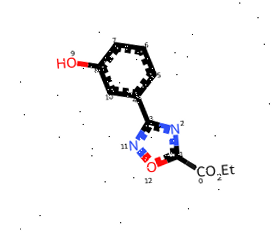 CCOC(=O)c1nc(-c2cccc(O)c2)no1